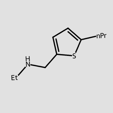 CCCc1ccc(CNCC)s1